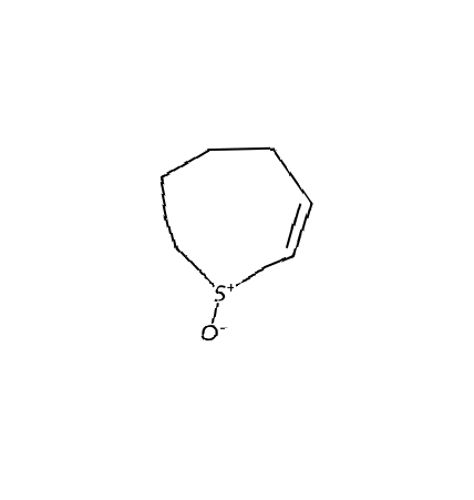 [O-][S+]1C=CCCCC1